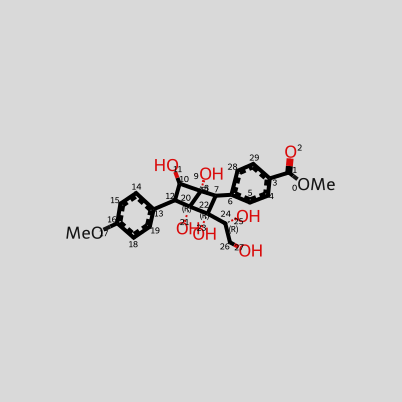 COC(=O)c1ccc(C2[C@]3(O)C(O)C(c4ccc(OC)cc4)[C@]3(O)[C@]2(O)[C@H](O)CO)cc1